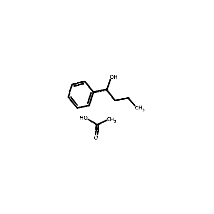 CC(=O)O.CCCC(O)c1ccccc1